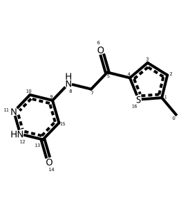 Cc1ccc(C(=O)CNc2cn[nH]c(=O)c2)s1